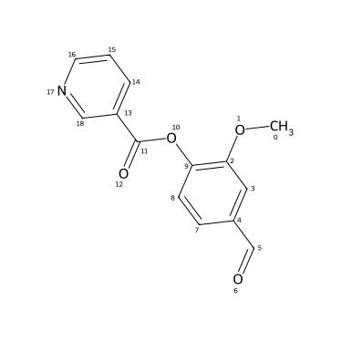 COc1cc(C=O)ccc1OC(=O)c1cccnc1